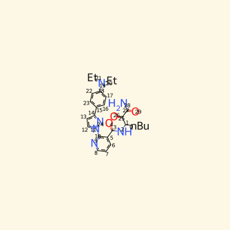 CCCCC(NC(=O)c1cccnc1-n1ccc(-c2ccc(N(CC)CC)cc2)n1)C(=O)C(N)=O